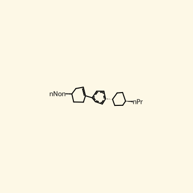 CCCCCCCCCC1CC=C(c2ccc([C@H]3CC[C@H](CCC)CC3)cc2)CC1